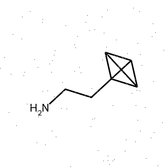 NCCC12C3C1C32